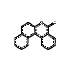 O=c1oc2ccc3ccccc3c2c2ccccc12